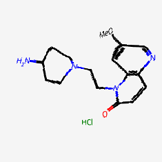 COc1cnc2ccc(=O)n(CCN3CCC(N)CC3)c2c1.Cl